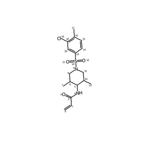 C=CC(=O)NC1C(C)CN(S(=O)(=O)c2ccc(C)c(Cl)c2)CC1C